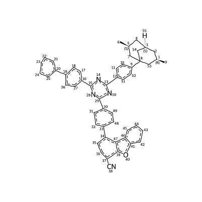 C[C@@H]1C[C@@H]2C[C@H](C)CC(c3ccc(-c4nc(-c5ccc(-c6ccccc6)cc5)nc(-c5ccc(-c6ccc(C#N)c7oc8ccccc8c67)cc5)n4)cc3)(C1)C2